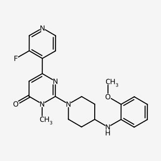 COc1ccccc1NC1CCN(c2nc(-c3ccncc3F)cc(=O)n2C)CC1